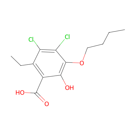 CCCCOc1c(O)c(C(=O)O)c(CC)c(Cl)c1Cl